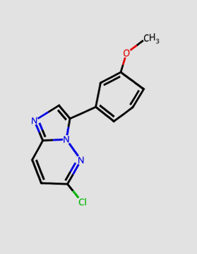 COc1cccc(-c2cnc3ccc(Cl)nn23)c1